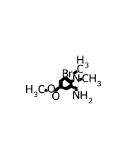 CCOC(=O)c1cc(Br)c(N(CC)CC)c(CN)c1